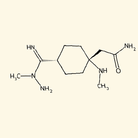 CN[C@]1(CC(N)=O)CC[C@H](C(=N)N(C)N)CC1